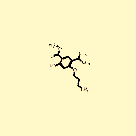 CCCCOc1cc(O)c(C(=O)OC)cc1C(C)C